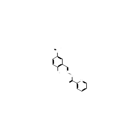 O=C(N/N=C/c1cc([N+](=O)[O-])ccc1O)c1ccccn1